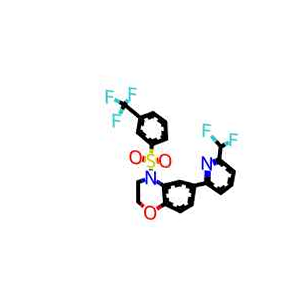 O=S(=O)(c1cccc(C(F)(F)F)c1)N1CCOc2ccc(-c3cccc(C(F)F)n3)cc21